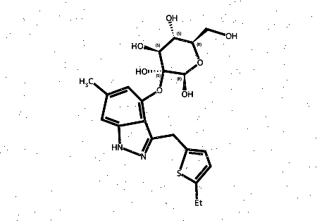 CCc1ccc(Cc2n[nH]c3cc(C)cc(O[C@]4(O)[C@H](O)O[C@H](CO)[C@@H](O)[C@@H]4O)c23)s1